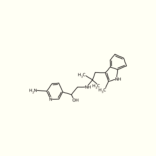 Cc1[nH]c2ccccc2c1CC(C)(C)NCC(O)c1ccc(N)nc1